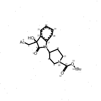 CC(=O)CC1(O)C(=O)N(C2CCN(C(=O)OC(C)(C)C)CC2)c2ccccc21